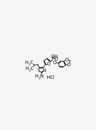 CC(C)Cc1sc(N)nc1-c1ccc(P(=O)(O)Oc2ccc3c(c2)OCO3)o1.Cl